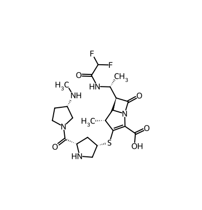 CN[C@H]1CCN(C(=O)[C@@H]2C[C@H](SC3=C(C(=O)O)N4C(=O)[C@H]([C@@H](C)NC(=O)C(F)F)C4[C@H]3C)CN2)C1